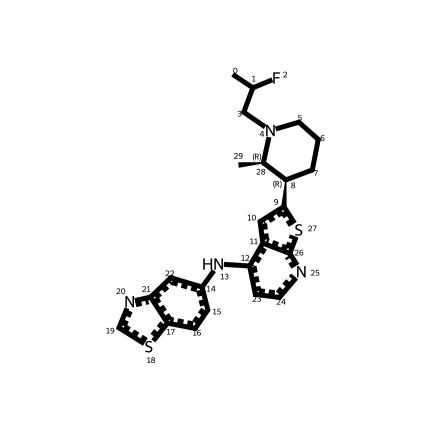 CC(F)CN1CCC[C@@H](c2cc3c(Nc4ccc5scnc5c4)ccnc3s2)[C@H]1C